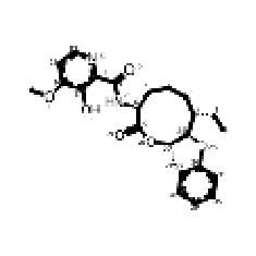 CC[C@H]1CCC[C@H](NC(=O)c2nccc(OC)c2O)C(=O)O[C@@H](C)[C@@H]1Oc1ccccc1